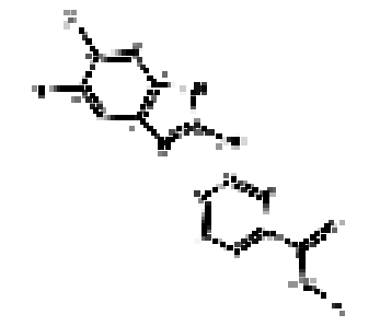 O=C(NO)c1cccc(Nc2nc3cc(F)c(Cl)cc3[nH]2)c1